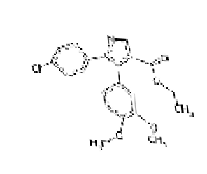 CCOC(=O)c1cnn(-c2ccc(Cl)cc2)c1-c1ccc(OC)c(OC)c1